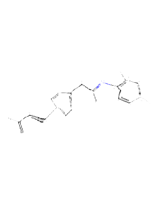 C=C(C)/C=C/c1ccc(C/C(C)=N/c2ccc(C)cc2C)cc1